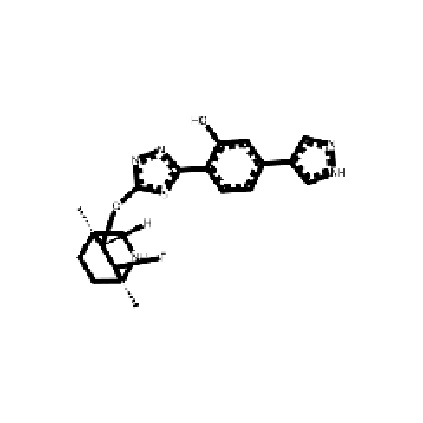 C[C@]12CC[C@](C)(NC1)C(F)[C@H]2Oc1nnc(-c2ccc(-c3cn[nH]c3)cc2O)s1